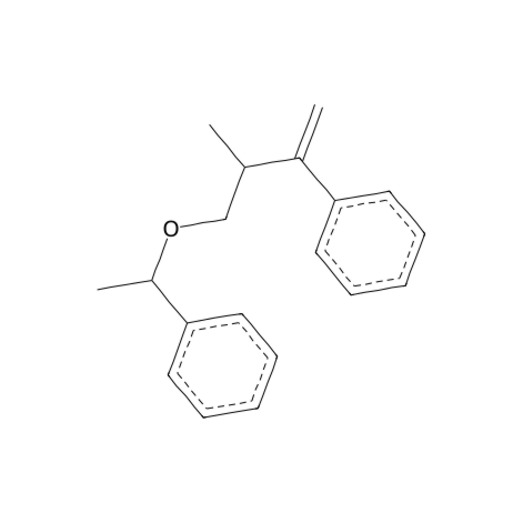 C=C(c1ccccc1)C(C)COC(C)c1ccccc1